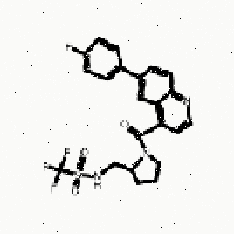 O=C(c1ccnc2ccc(-c3ccc(F)cc3)cc12)N1CCCC1CNS(=O)(=O)C(F)(F)F